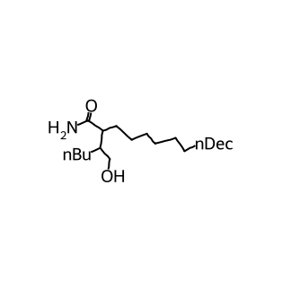 CCCCCCCCCCCCCCCCC(C(N)=O)C(CO)CCCC